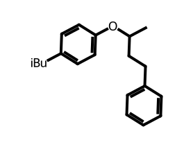 CCC(C)c1ccc(OC(C)CCc2ccccc2)cc1